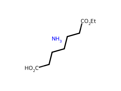 CCOC(=O)CCCCCC(=O)O.N